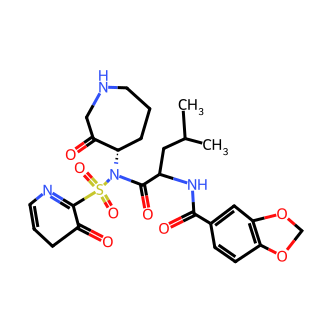 CC(C)CC(NC(=O)c1ccc2c(c1)OCO2)C(=O)N([C@H]1CCCNCC1=O)S(=O)(=O)C1=NC=CCC1=O